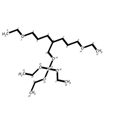 CCOCCCC(CCCOCC)CO[Si](OCC)(OCC)OCC